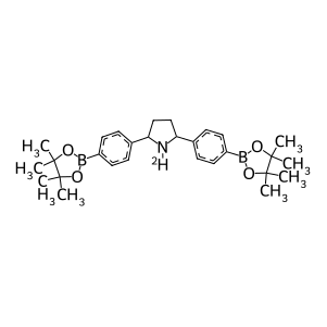 [2H]N1C(c2ccc(B3OC(C)(C)C(C)(C)O3)cc2)CCC1c1ccc(B2OC(C)(C)C(C)(C)O2)cc1